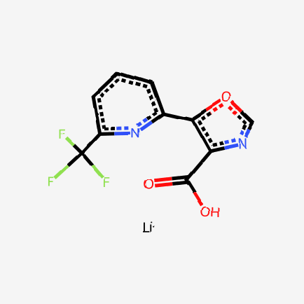 O=C(O)c1ncoc1-c1cccc(C(F)(F)F)n1.[Li]